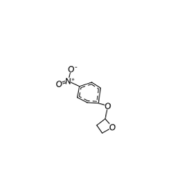 O=[N+]([O-])c1ccc(OC2CCO2)cc1